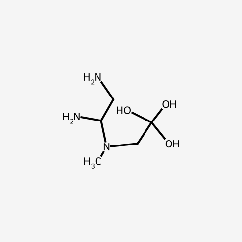 CN(CC(O)(O)O)C(N)CN